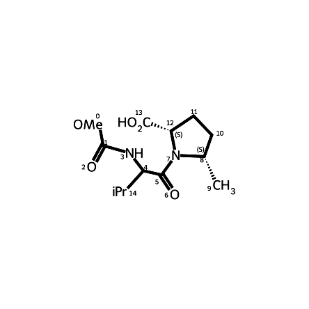 COC(=O)NC(C(=O)N1[C@@H](C)CC[C@H]1C(=O)O)C(C)C